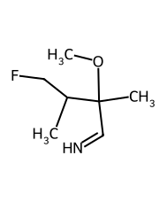 COC(C)(C=N)C(C)CF